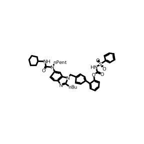 CCCCCN(C(=O)NC1CCCCC1)c1ccc2nc(CCCC)n(Cc3ccc(-c4ccccc4OC(=O)NS(=O)(=O)c4ccccc4)cc3)c2c1